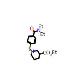 CCOC(=O)C1CCCN(Sc2ccc(C(=O)N(CC)CC)cc2)C1